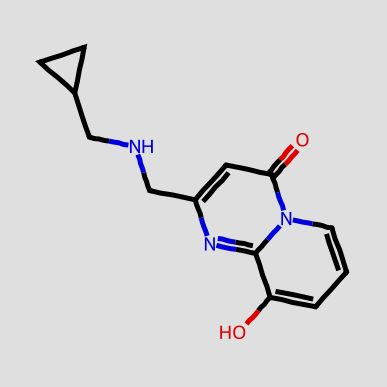 O=c1cc(CNCC2CC2)nc2c(O)cccn12